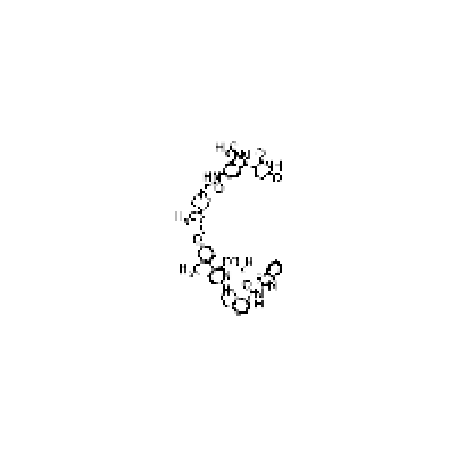 Cc1cc(OCCCC2(C)CCN(CC(=O)Nc3ccc4c(C5CCC(=O)NC5=O)nn(C)c4c3)CC2)ccc1-c1ccc(N2CCc3cccc(C(=O)Nc4nc5ccccc5s4)c3C2)nc1C(=O)O